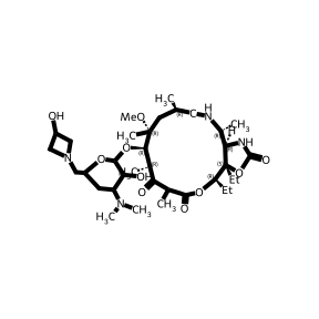 CC[C@H]1OC(=O)C(C)C(=O)[C@H](C)[C@@H](OC2OC(CN3CC(O)C3)CC(N(C)C)C2O)[C@](C)(OC)C[C@@H](C)CN[C@H](C)[C@H]2NC(=O)O[C@@]21CC